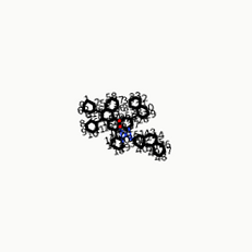 c1ccc(-c2c(-c3ccccc3)c3cc(-c4ccccc4N(c4cccc(-c5cccc6ccccc56)c4)c4ccc5c(ccc6ccccc65)c4)ccc3c3ccccc23)cc1